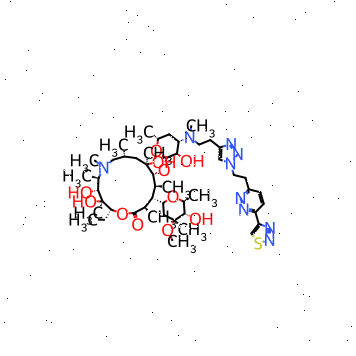 CC[C@H]1OC(=O)[C@H](C)[C@@H](C2C[C@@](C)(OC)[C@@H](O)[C@H](C)O2)[C@H](C)[C@@H](O[C@@H]2O[C@H](C)C[C@H](N(C)CCc3cn(CCc4ccc(-c5csnn5)nn4)nn3)[C@H]2O)[C@](C)(O)C[C@@H](C)CN(C)[C@H](C)[C@@H](O)[C@]1(C)O